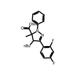 CCCCC1C(c2ccc(F)cc2F)=NN(c2ccccc2)C1(C)C(=O)OC